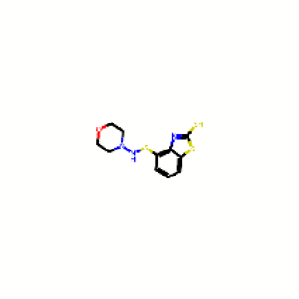 Sc1nc2c(SNN3CCOCC3)cccc2s1